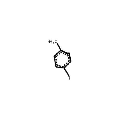 [CH2]c1ccc(F)cc1